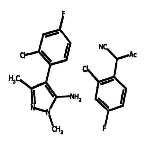 CC(=O)C(C#N)c1ccc(F)cc1Cl.Cc1nn(C)c(N)c1-c1ccc(F)cc1Cl